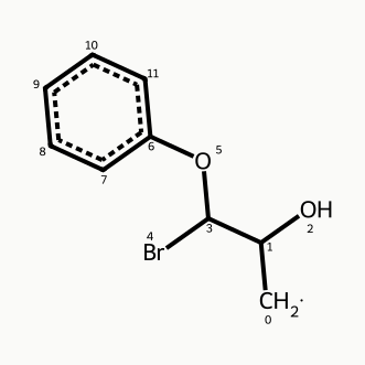 [CH2]C(O)C(Br)Oc1ccccc1